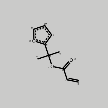 C=CC(=O)OC(C)(C)c1ccco1